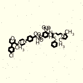 CC(C1=C(c2ccc(Cl)cc2)CCOC1)N1CCN(c2ccc(C(=O)NS(=O)(=O)c3ccc(N[C@H](CCCN4[C@H](C)CC[C@@H]4C)CSc4ccccc4)c([N+](=O)[O-])c3)cc2)CC1